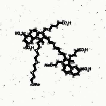 COCCOCCOCCOCCC1(C)\C(=C/C=C/C=C/C=C/C2=[N+](CCOC)c3ccc4ccc(S(=O)(=O)O)cc4c3C2(C)CCCS(=O)(=O)O)N(CCCCCC(=O)O)c2ccc3c(S(=O)(=O)O)cc(S(=O)(=O)O)cc3c21